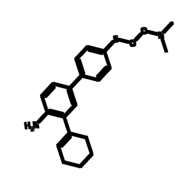 CN(C)OOSc1ccc(-c2ccc(N)c(C3=CCCCC3)c2)cc1